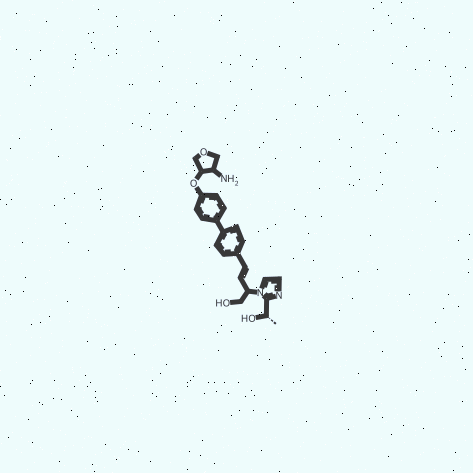 C[C@H](O)c1nccn1C(/C=C/c1ccc(-c2ccc(OC3COCC3N)cc2)cc1)CO